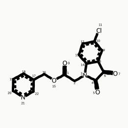 O=C(CN1C(=O)C(=O)c2cc(Cl)ccc21)OCc1cccnc1